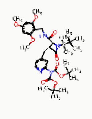 COc1cc(OC)c(CNC(=O)[C@@H]2[C@@H](Cc3ccnc(N(C(=O)OC(C)(C)C)C(=O)OC(C)(C)C)c3)C(=O)N2[Si](C)(C)C(C)(C)C)c(OC)c1